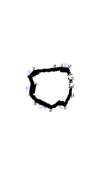 [C]1=C/C=C\C=C\C=C/C/C=C\CCC/1